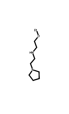 CCOCCNCCN1CCCC1